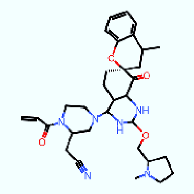 C=CC(=O)N1CCN(C2NC(OCC3CCCN3C)NC3C(=O)[C@]4(CCC32)CC(C)c2ccccc2O4)CC1CC#N